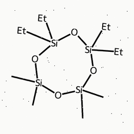 CC[Si]1(CC)O[Si](C)(C)O[Si](C)(C)O[Si](CC)(CC)O1